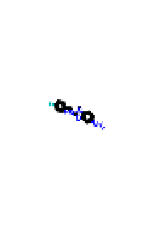 Cn1c(NCc2ccc(F)cc2)nc2cc(N)ccc21